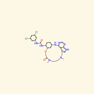 CN1CCCN(C)C(=O)COc2cc(ccc2NC(=O)Nc2cc(Cl)cc(Cl)c2)Nc2ncnc3[nH]cc(c23)C1